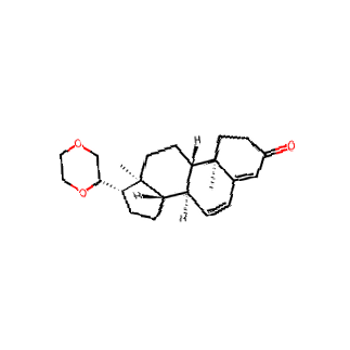 C[C@]12CC[C@H]3[C@@H](C=CC4=CC(=O)CC[C@@]43C)[C@@H]1CC[C@@H]2C1COCCO1